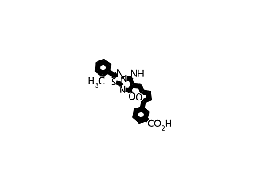 Cc1ccccc1C1=NN2C(=N)/C(=C/c3ccc(-c4cccc(C(=O)O)c4)o3)C(=O)N=C2S1